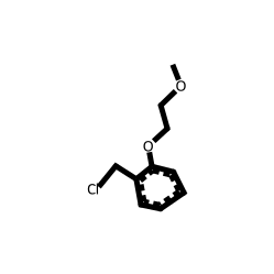 COCCOc1ccccc1CCl